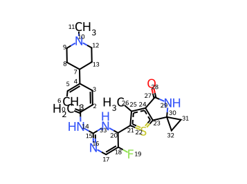 C=C(/C=C\C(=C/C)C1CCN(C)CC1)NC1=NC=C(F)C(c2sc3c(c2C)C(=O)NC32CC2)N1